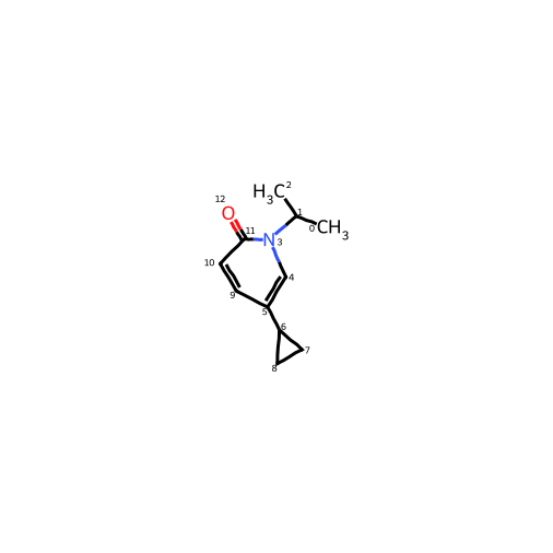 CC(C)n1cc(C2CC2)ccc1=O